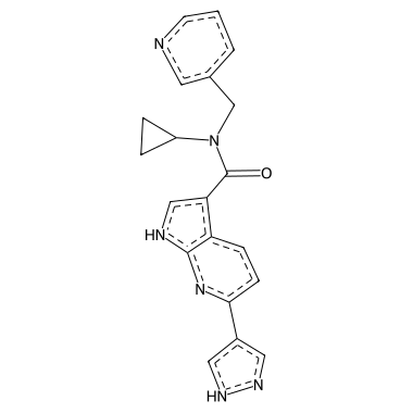 O=C(c1c[nH]c2nc(-c3cn[nH]c3)ccc12)N(Cc1cccnc1)C1CC1